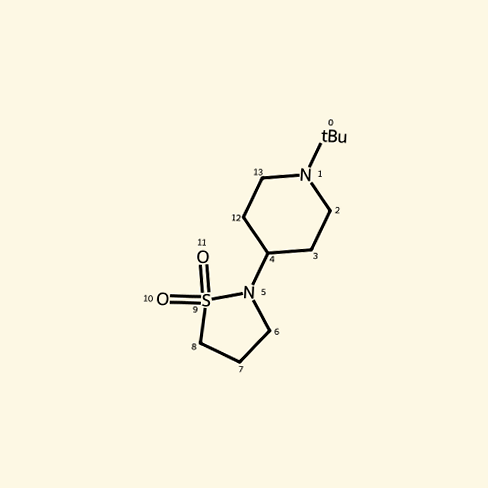 CC(C)(C)N1CCC(N2CCCS2(=O)=O)CC1